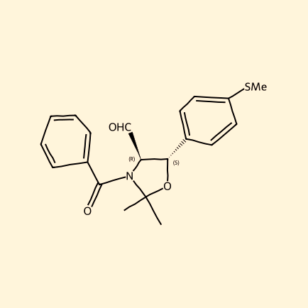 CSc1ccc([C@@H]2OC(C)(C)N(C(=O)c3ccccc3)[C@H]2C=O)cc1